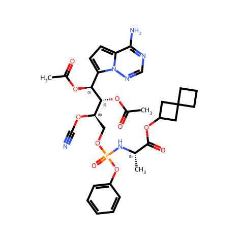 CC(=O)O[C@H]([C@@H](COP(=O)(N[C@@H](C)C(=O)OC1CC2(CCC2)C1)Oc1ccccc1)OC#N)[C@@H](OC(C)=O)c1ccc2c(N)ncnn12